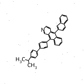 CC(C)c1ccc(-c2ccc(-c3c4ccccc4c(-c4ccc5ccccc5c4)c4ccncc34)cc2)cc1